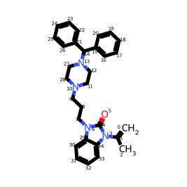 C=C(C)n1c(=O)n(CCCN2CCN(C(c3ccccc3)c3ccccc3)CC2)c2ccccc21